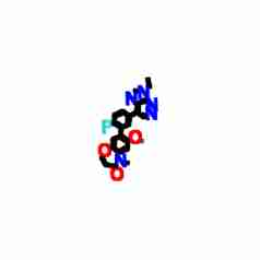 CCn1cnc2c(-c3ccc(F)c(-c4cc5c(cc4OC)N(C)C(=O)CCO5)c3)cnnc21